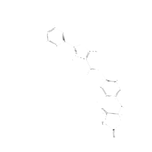 Cc1oc(-c2ccccc2)nc1C(C)Oc1ccc(CC2OC(=O)NC2=O)cc1